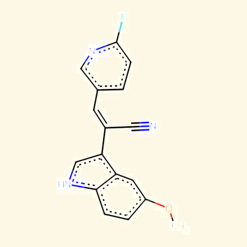 COc1ccc2[nH]cc(C(C#N)=Cc3ccc(F)nc3)c2c1